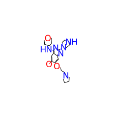 COc1cc2c(NC3CCOCC3)nc(N3CCNCC3)nc2cc1OCCCN1CCCC1